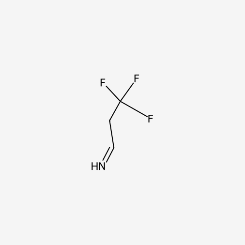 N=CCC(F)(F)F